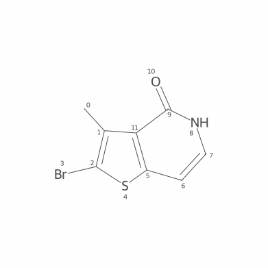 Cc1c(Br)sc2cc[nH]c(=O)c12